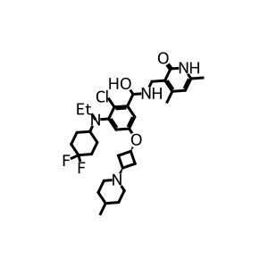 CCN(c1cc(O[C@H]2C[C@H](N3CCC(C)CC3)C2)cc(C(O)NCc2c(C)cc(C)[nH]c2=O)c1Cl)C1CCC(F)(F)CC1